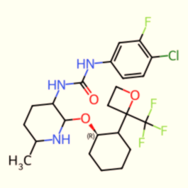 CC1CCC(NC(=O)Nc2ccc(Cl)c(F)c2)C(O[C@@H]2CCCCC2C2(C(F)(F)F)CCO2)N1